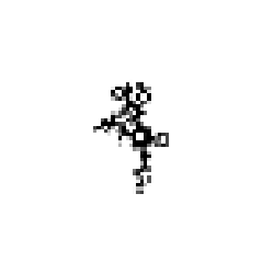 CCC(C)(C)[C@@H]1[C@H](C)c2cc(OCCCOC)c(Cl)cc2-c2cc(=O)c(C(=O)O)cn21